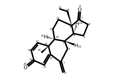 C=C1C[C@H]2[C@@H]3CCC(=O)[C@@]3(CC)CC[C@@H]2[C@@]2(C)C=CC(=O)C=C12